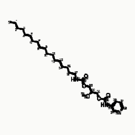 CCCCCCCCCCCCCCCCCCNC(=O)OCC(COC(=O)Nc1cccnc1)OC